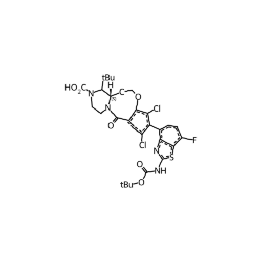 CC(C)(C)OC(=O)Nc1nc2c(-c3c(Cl)cc4c(c3Cl)OCC[C@H]3C(C(C)(C)C)N(C(=O)O)CCN3C4=O)ccc(F)c2s1